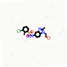 Cc1c(Cl)cccc1S(=O)(=O)Nc1ccc2c(c1)nc(C)n2CC=O